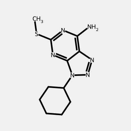 CSc1nc(N)c2nnn(C3CCCCC3)c2n1